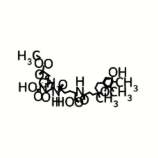 CCOC(=O)C(=O)CSCC(NC(=O)CCC(NC(=O)CCC1(C)CCc2cc(O)c(C)c(C)c2O1)C(=O)O)C(=O)N(C)C(=O)O